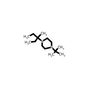 CCC(C)(CC)N1CCN(C(C)(C)C)CC1